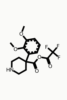 COc1cccc(C2(C(=O)OC(=O)C(F)(F)F)CCNCC2)c1OC